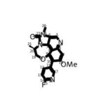 COc1cc2ncc3c4c2c(c1-c1ccc(F)nc1)OC[C@@H](C)n4c(=O)n3C